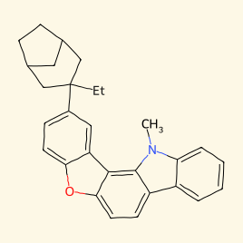 CCC1(c2ccc3oc4ccc5c6ccccc6n(C)c5c4c3c2)CC2CCC(C2)C1